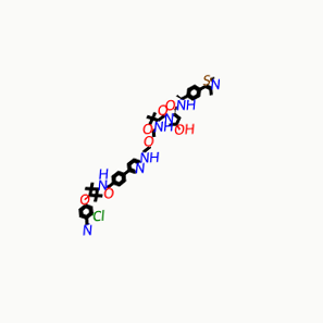 Cc1ncsc1-c1ccc([C@H](C)NC(=O)[C@@H]2C[C@@H](O)CN2C(=O)C(NC(=O)COCCNc2ccc(-c3ccc(C(=O)N[C@H]4C(C)(C)[C@H](Oc5ccc(C#N)c(Cl)c5)C4(C)C)cc3)cn2)C(C)(C)C)cc1